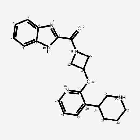 O=C(c1nc2ccccc2[nH]1)N1CC(Oc2ncccc2C2CCCNC2)C1